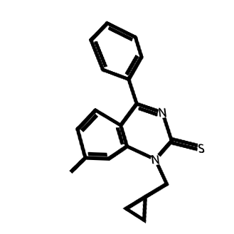 Cc1ccc2c(-c3ccccc3)nc(=S)n(CC3CC3)c2c1